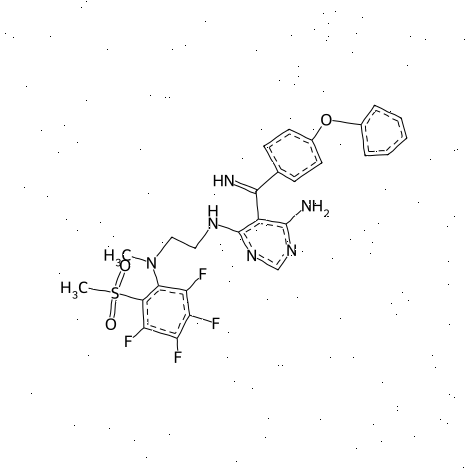 CN(CCNc1ncnc(N)c1C(=N)c1ccc(Oc2ccccc2)cc1)c1c(F)c(F)c(F)c(F)c1S(C)(=O)=O